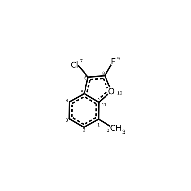 Cc1cccc2c(Cl)c(F)oc12